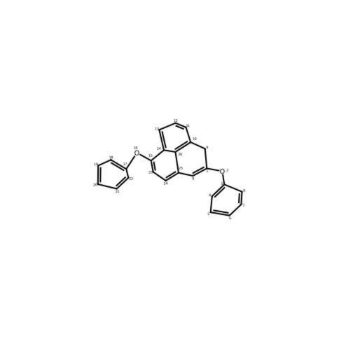 C1=C(Oc2ccccc2)Cc2cccc3c(Oc4ccccc4)ccc1c23